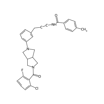 Cc1ccc(C(=O)NCCCc2cccc(N3CC4CN(C(=O)c5c(F)cccc5Cl)CC4C3)c2)cc1